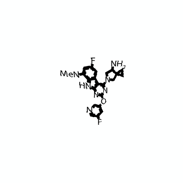 CNc1cc(F)cc2c1[nH]c1nc(Oc3cncc(F)c3)nc(N3CC(N)C4(CC4)C3)c12